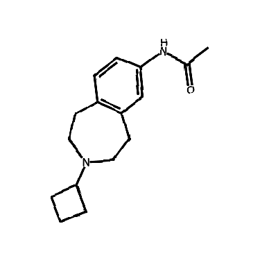 CC(=O)Nc1ccc2c(c1)CCN(C1CCC1)CC2